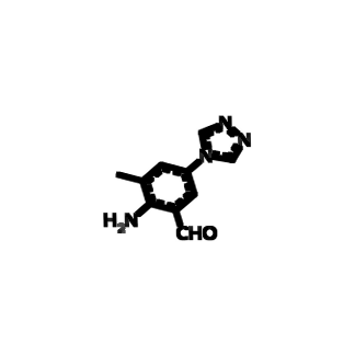 Cc1cc(-n2cnnc2)cc(C=O)c1N